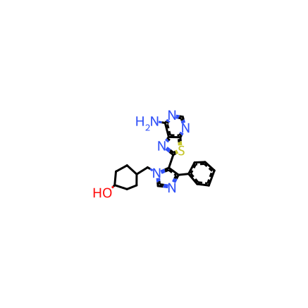 Nc1ncnc2sc(-c3c(-c4ccccc4)ncn3CC3CCC(O)CC3)nc12